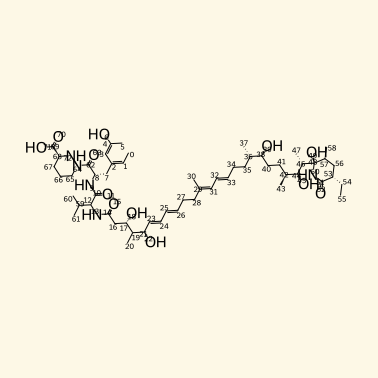 C/C=C(\C=C(/C)O)C[C@H](NC(=O)C(NC(=O)C[C@H](O)C(C)[C@H](O)/C=C/C=C/CC/C(C)=C/C=C/CC[C@H](C)[C@@H](O)CC[C@H](C)[C@H](O)[C@H](C)[C@@]1(O)NC(=O)[C@@H](CC)C[C@@H]1C)C(C)C)C(=O)N1CCC[C@@H](C(=O)O)N1